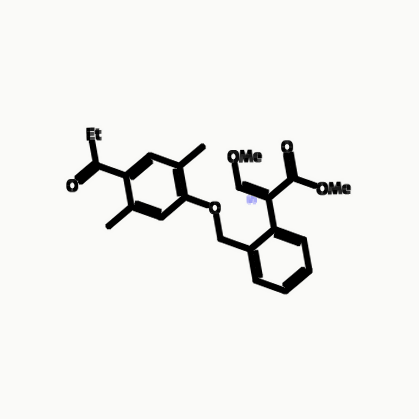 CCC(=O)c1cc(C)c(OCc2ccccc2/C(=C/OC)C(=O)OC)cc1C